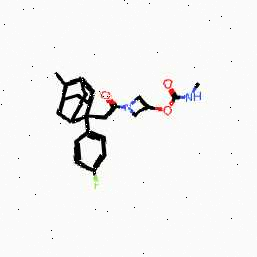 CNC(=O)OC1CN(C(=O)CC2(c3ccc(F)cc3)C3CC4CC2CC(C3)C4C)C1